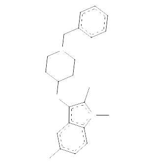 Cc1c(SC2CCN(Cc3ccccc3)CC2)c2cc(Cl)ccc2n1C.Cl